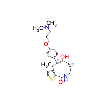 C=C1/C(c2ccc(OCCCN(C)C)cc2)=C(O)\C=C/CNC(=O)c2sccc21